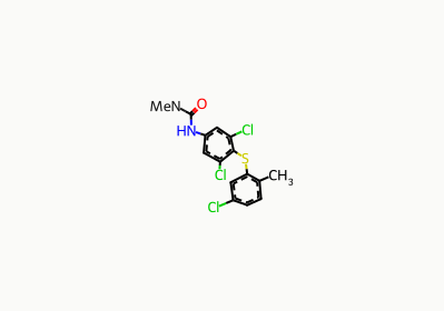 CNC(=O)Nc1cc(Cl)c(Sc2cc(Cl)ccc2C)c(Cl)c1